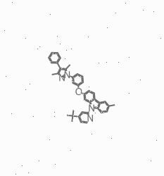 Cc1ccc2c(c1)c1ccc(Oc3cccc(-n4nc(C)c(-c5ccccc5)c4C)c3)cc1n2-c1cc(C(C)(C)C)ccn1